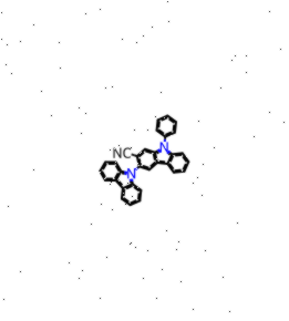 N#Cc1cc2c(cc1-n1c3ccccc3c3ccccc31)c1ccccc1n2-c1ccccc1